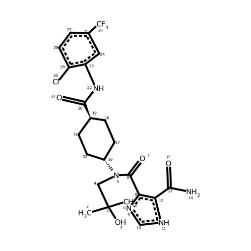 CC(C)(O)CN(C(=O)c1nc[nH]c1C(N)=O)[C@H]1CC[C@H](C(=O)Nc2cc(C(F)(F)F)ccc2Cl)CC1